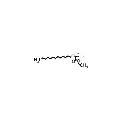 CCCCCCCCCCCCCOC(C)C(=O)OCC